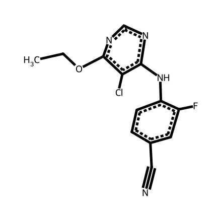 CCOc1ncnc(Nc2ccc(C#N)cc2F)c1Cl